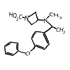 CC(c1ccc(Oc2ccccc2)cc1)N(C)C1CN(C(=O)O)C1